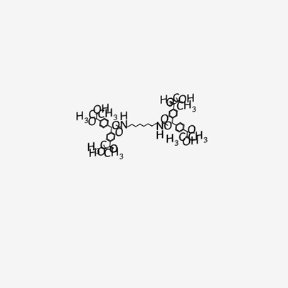 CC(C)(O)C(=O)c1ccc(C(OC(=O)NCCCCCCCCNC(=O)OC(c2ccc(C(=O)C(C)(C)O)cc2)c2ccc(C(=O)C(C)(C)O)cc2)c2ccc(C(=O)C(C)(C)O)cc2)cc1